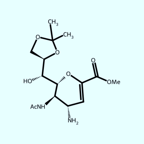 COC(=O)C1=C[C@H](N)[C@@H](NC(C)=O)[C@H]([C@H](O)[C@H]2COC(C)(C)O2)O1